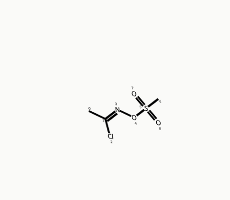 C/C(Cl)=N/OS(C)(=O)=O